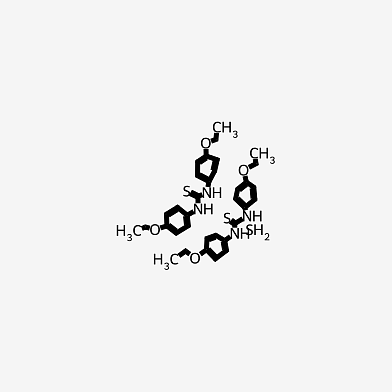 CCOc1ccc(NC(=S)Nc2ccc(OCC)cc2)cc1.CCOc1ccc(NC(=S)Nc2ccc(OCC)cc2)cc1.S